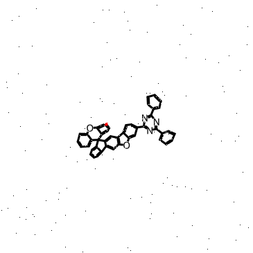 c1ccc(-c2nc(-c3ccccc3)nc(-c3ccc4c(c3)oc3cc5c(cc34)C3(c4ccccc4Oc4ccccc43)c3ccccc3-5)n2)cc1